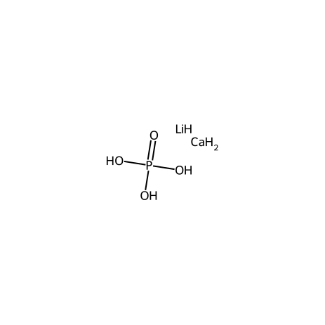 O=P(O)(O)O.[CaH2].[LiH]